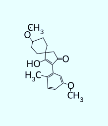 COc1ccc(C)c(C2=C(O)C3(CCC(OC)CC3)CC2=O)c1